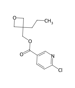 CCCC1(COC(=O)c2ccc(Cl)nc2)COC1